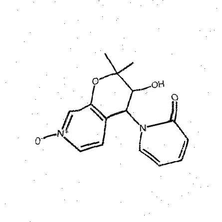 CC1(C)Oc2c[n+]([O-])ccc2C(n2ccccc2=O)C1O